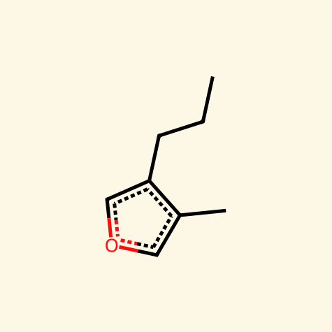 CCCc1cocc1C